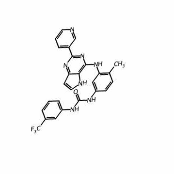 Cc1ccc(NC(=O)Nc2cccc(C(F)(F)F)c2)cc1Nc1nc(-c2cccnc2)nc2cc[nH]c12